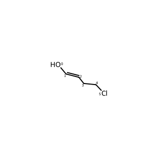 OC=CCCCl